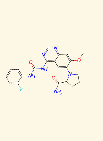 COc1cc2ncnc(NC(=O)Nc3ccccc3F)c2cc1N1CCCC1C(N)=O